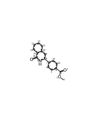 COC(=O)c1ccc(-c2cc3ccccc3c(=O)[nH]2)cc1